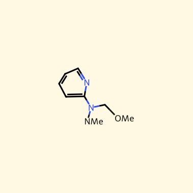 CNN(COC)c1ccccn1